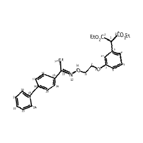 CCOC(=O)C(C(=O)OCC)c1cccc(OCCO/N=C(\CC)c2ccc(-c3ccccc3)cc2)c1